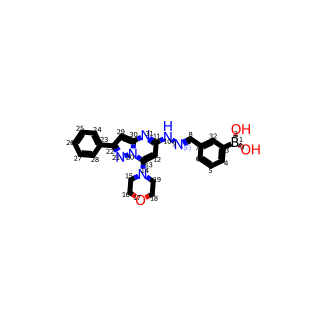 OB(O)c1cccc(/C=N/Nc2cc(N3CCOCC3)n3nc(-c4ccccc4)cc3n2)c1